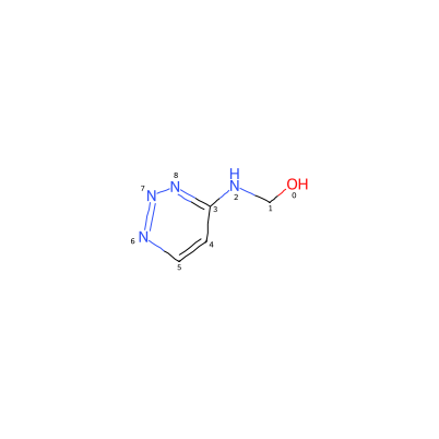 OCNc1ccnnn1